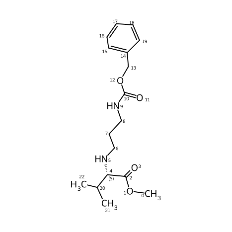 COC(=O)[C@@H](NCCCNC(=O)OCc1ccccc1)C(C)C